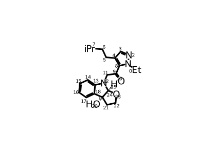 CCn1ncc(CCC(C)C)c1C(=O)CN1c2ccccc2[C@]2(O)CCO[C@H]12